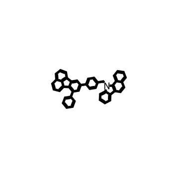 c1ccc(-c2cc(-c3ccc(Cn4c5ccccc5c5ccc6ccccc6c54)cc3)cc3c2-c2cccc4cccc-3c24)cc1